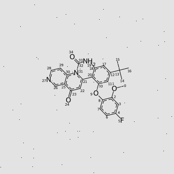 COc1cc(F)ccc1Oc1cc(C(C)(C)C)cc(C)c1-c1cc(=O)c2cnccc2n1C(N)=O